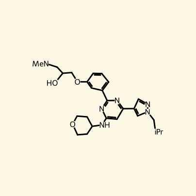 CNCC(O)COc1cccc(-c2nc(NC3CCOCC3)cc(-c3cnn(CC(C)C)c3)n2)c1